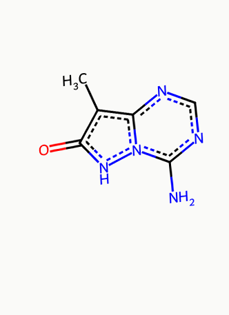 Cc1c(=O)[nH]n2c(N)ncnc12